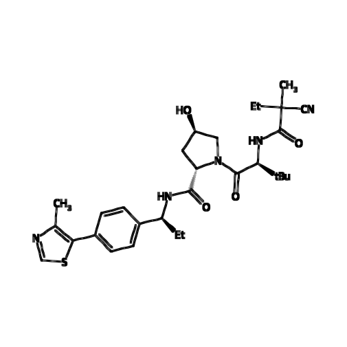 CC[C@H](NC(=O)[C@@H]1C[C@@H](O)CN1C(=O)[C@@H](NC(=O)C(C)(C#N)CC)C(C)(C)C)c1ccc(-c2scnc2C)cc1